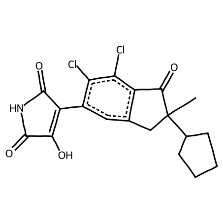 CC1(C2CCCC2)Cc2cc(C3=C(O)C(=O)NC3=O)c(Cl)c(Cl)c2C1=O